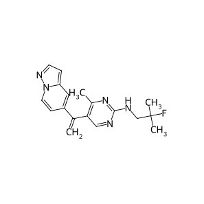 C=C(c1ccn2nccc2c1)c1cnc(NCC(C)(C)F)nc1C